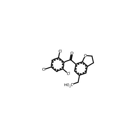 O=C(O)Cc1cc2c(c(C(=O)c3c(Cl)cc(Cl)cc3Cl)c1)OCC2